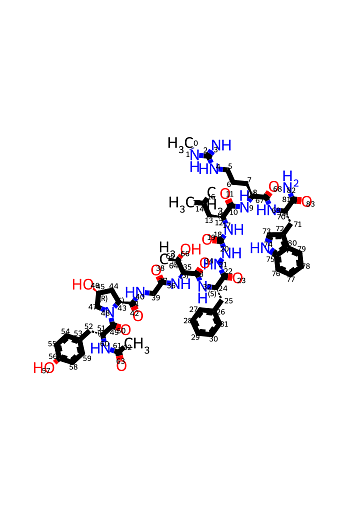 CNC(=N)NCCC[C@H](NC(=O)[C@H](CC(C)C)NC(=O)NNC(=O)[C@H](Cc1ccccc1)NC(=O)[C@@H](NC(=O)CNC(=O)[C@@H]1C[C@@H](O)CN1C(=O)[C@@H](Cc1ccc(O)cc1)NC(C)=O)[C@@H](C)O)C(=O)N[C@@H](Cc1c[nH]c2ccccc12)C(N)=O